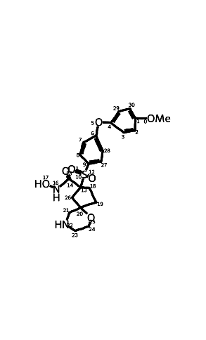 COc1ccc(Oc2ccc(S(=O)(=O)C3(C(=O)NO)CCC4(CNCCO4)C3)cc2)cc1